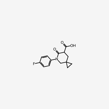 O=C(O)C1CC2(CC2)CN(c2ccc(F)cc2)C1=O